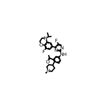 CC(=O)c1cc(Nc2ncc(F)c(-c3cc(F)c4c(c3)N(C(C)C)CCO4)n2)ccc1C1CCN(C)CC1